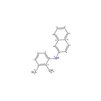 Cc1cccc(Nc2ccc3ccccc3c2)c1C